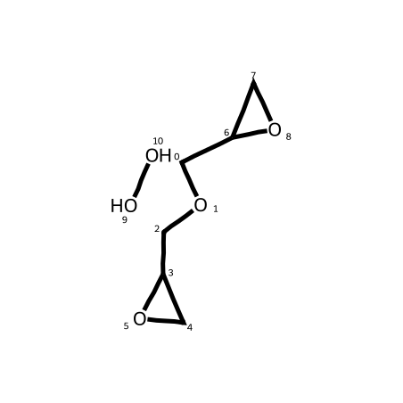 C(OCC1CO1)C1CO1.OO